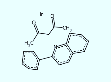 CC(=O)CC(C)=O.[Ir].c1ccc(-c2ccc3ccccc3n2)cc1